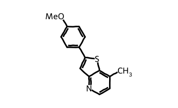 COc1ccc(-c2cc3nccc(C)c3s2)cc1